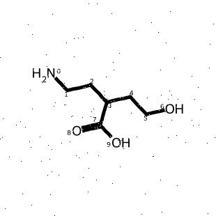 NCC[C](CCO)C(=O)O